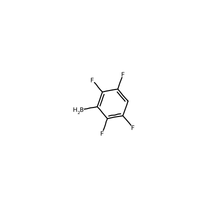 Bc1c(F)c(F)cc(F)c1F